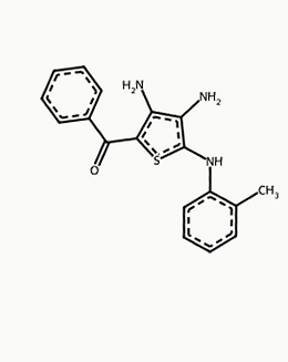 Cc1ccccc1Nc1sc(C(=O)c2ccccc2)c(N)c1N